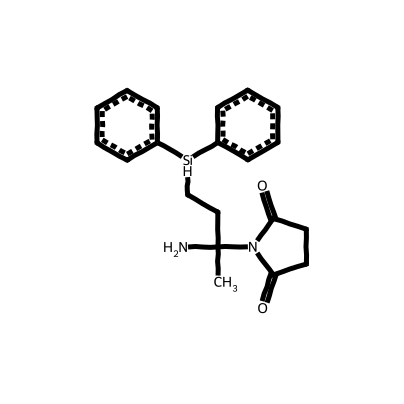 CC(N)(CC[SiH](c1ccccc1)c1ccccc1)N1C(=O)CCC1=O